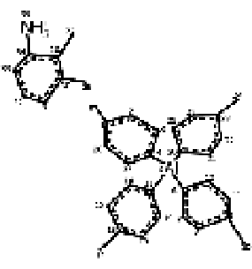 Cc1cc[c]([Al-]([c]2ccc(C)cc2)([c]2ccc(C)cc2)[c]2ccc(C)cc2)cc1.Cc1cccc([NH3+])c1C